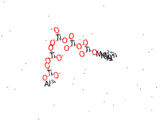 [Al+3].[Al+3].[Mg+2].[Mg+2].[O]=[Ti]([O-])[O-].[O]=[Ti]([O-])[O-].[O]=[Ti]([O-])[O-].[O]=[Ti]([O-])[O-].[O]=[Ti]([O-])[O-]